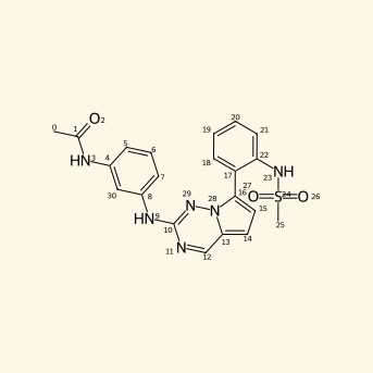 CC(=O)Nc1cccc(Nc2ncc3ccc(-c4ccccc4NS(C)(=O)=O)n3n2)c1